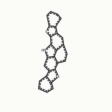 c1ccc2c(c1)sc1c2cc2[nH]c3c4sc5ccccc5c4cc4ccc1c2c43